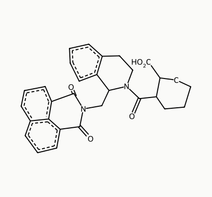 O=C(O)C1CCCCC1C(=O)N1CCc2ccccc2C1CN1C(=O)c2cccc3cccc(c23)C1=O